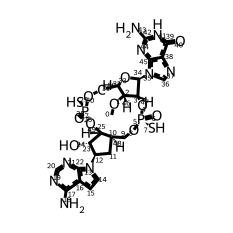 CO[C@H]1[C@H]2O[P@](=O)(S)OC[C@H]3C[C@@H](n4ccc5c(N)ncnc54)[C@H](O)[C@@H]3O[P@@](=O)(S)OC[C@H]1O[C@H]2n1cnc2c(=O)[nH]c(N)nc21